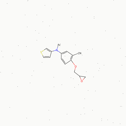 CC(=O)N(c1ccsc1)c1ccc(OCC2CO2)c(C#N)c1